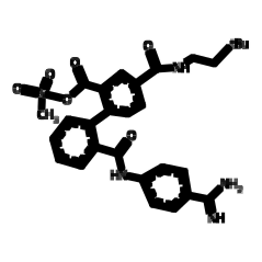 CC(C)(C)CCNC(=O)c1ccc(-c2ccccc2C(=O)Nc2ccc(C(=N)N)cc2)c(C(=O)OS(C)(=O)=O)c1